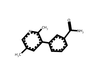 Cc1cnc(C)c(-c2cccc(C(N)=O)c2)c1